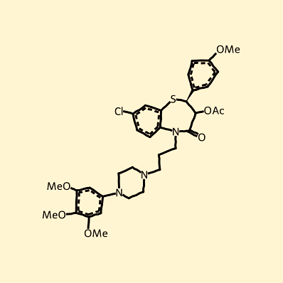 COc1ccc([C@@H]2Sc3cc(Cl)ccc3N(CCCN3CCN(c4cc(OC)c(OC)c(OC)c4)CC3)C(=O)C2OC(C)=O)cc1